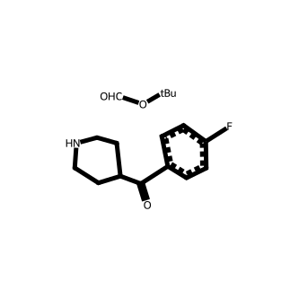 CC(C)(C)OC=O.O=C(c1ccc(F)cc1)C1CCNCC1